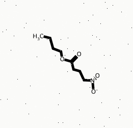 CCCCOC(=O)CCC[N+](=O)[O-]